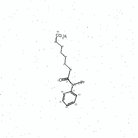 CC(C)N(C(=O)CCCCCCC(=O)O)c1ccccc1